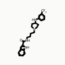 O=C(NCCCCN1CCC(Nc2cccc(C(F)(F)F)c2)CC1)c1cc2ccccc2[nH]1